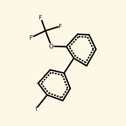 FC(F)(F)Oc1ccccc1-c1c[c]c(I)cc1